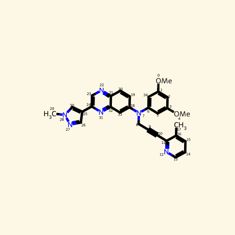 COc1cc(OC)cc(N(CC#Cc2ncccc2C)c2ccc3ncc(-c4cnn(C)c4)nc3c2)c1